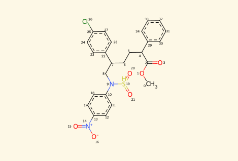 COC(=O)C(CCC(CN(c1ccc([N+](=O)[O-])cc1)[SH](=O)=O)c1ccc(Cl)cc1)c1ccccc1